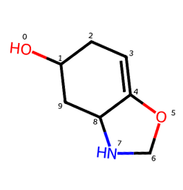 OC1CC=C2OCNC2C1